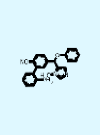 Cc1ccccc1-c1cc(C(Oc2ccccc2)c2cncn2C)ccc1C#N